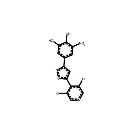 O=[N+]([O-])c1cc(-c2cc(-c3c(Cl)cncc3Cl)on2)cc(O)c1O